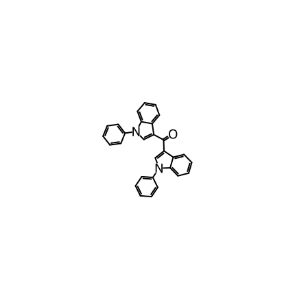 O=C(c1cn(-c2ccccc2)c2ccccc12)c1cn(-c2ccccc2)c2ccccc12